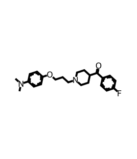 CN(C)c1ccc(OCCCN2CCC(C(=O)c3ccc(F)cc3)CC2)cc1